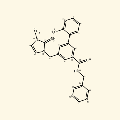 Cc1ncccc1-c1cc(Cn2ccn(C)c2=N)cc(C(=O)NCc2cncnc2)c1